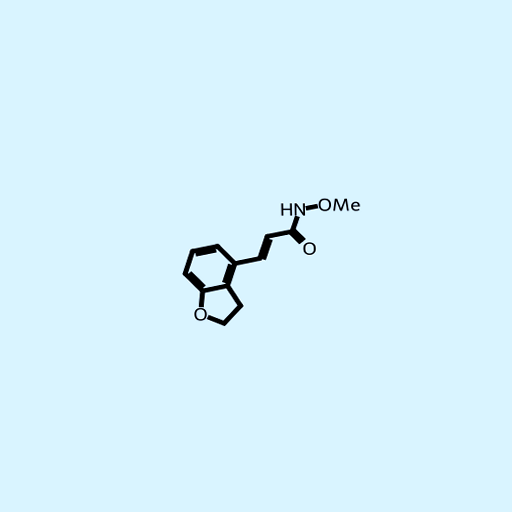 CONC(=O)/C=C/c1cccc2c1CCO2